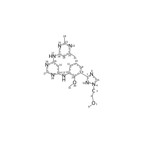 COCCn1cnc(-c2cccc(Nc3cc(Nc4cc(C)nc(C)n4)ncn3)c2OC)n1